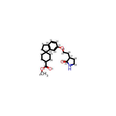 COC(=O)C1CCC2(CCc3ccc(OCCC4CCNC4=O)cc32)CC1